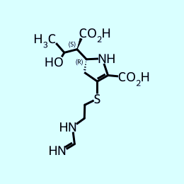 CC(O)[C@@H](C(=O)O)[C@H]1CC(SCCNC=N)=C(C(=O)O)N1